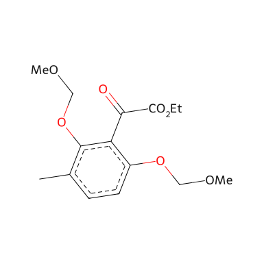 CCOC(=O)C(=O)c1c(OCOC)ccc(C)c1OCOC